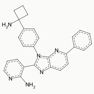 Nc1ncccc1-c1nc2ccc(-c3ccccc3)nc2n1-c1ccc(C2(N)CCC2)cc1